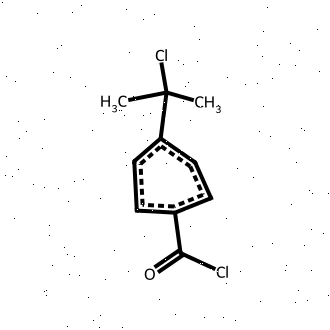 CC(C)(Cl)c1ccc(C(=O)Cl)cc1